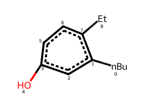 CCCCc1cc(O)ccc1CC